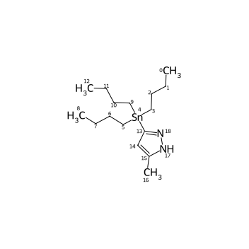 CCC[CH2][Sn]([CH2]CCC)([CH2]CCC)[c]1cc(C)[nH]n1